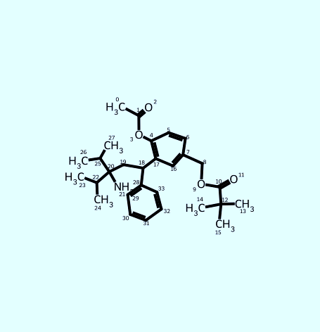 CC(=O)Oc1ccc(COC(=O)C(C)(C)C)cc1C(CC(N)(C(C)C)C(C)C)c1ccccc1